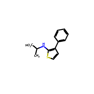 CC(Nc1sccc1-c1ccccc1)C(=O)O